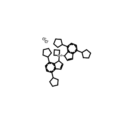 C1=C[CH]([Zr+2]2([CH]3C=Cc4c(C5CCCC5)ccc(C5CCCC5)c43)[CH2]C[CH2]2)c2c(C3CCCC3)ccc(C3CCCC3)c21.[Cl-].[Cl-]